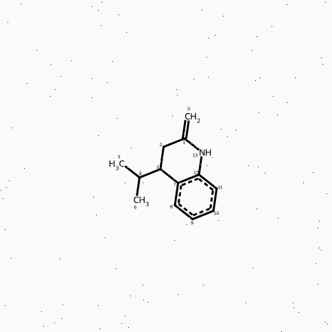 C=C1CC(C(C)C)c2ccccc2N1